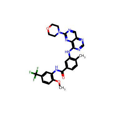 COc1ccc(C(F)(F)F)cc1NC(=O)c1ccc(C)c(Nc2ncnc3cnc(N4CCOCC4)nc23)c1